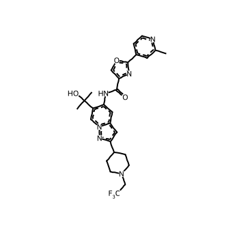 Cc1cc(-c2nc(C(=O)Nc3cc4cc(C5CCN(CC(F)(F)F)CC5)nn4cc3C(C)(C)O)co2)ccn1